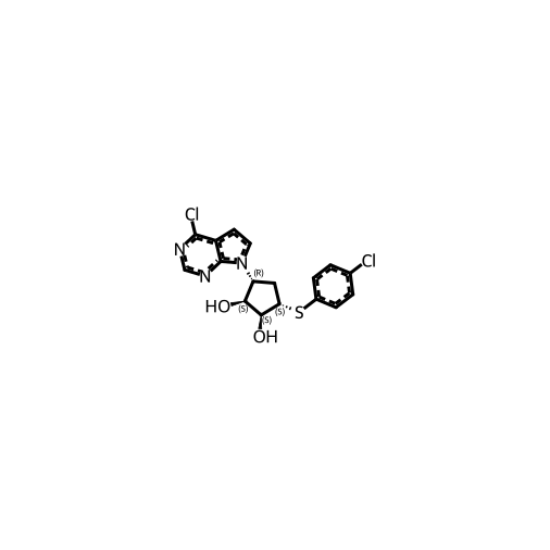 O[C@@H]1[C@H](O)[C@@H](Sc2ccc(Cl)cc2)C[C@H]1n1ccc2c(Cl)ncnc21